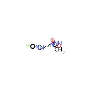 Cc1cn(CCCCN2CCN(c3ccc(F)cc3)CC2)c(=O)[nH]c1=O